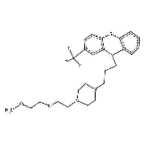 COCCOCCN1CCN(CCCN2c3ccccc3Sc3ccc(C(F)(F)F)cc32)CC1